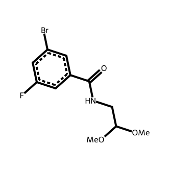 COC(CNC(=O)c1cc(F)cc(Br)c1)OC